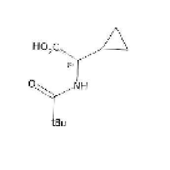 CC(C)(C)C(=O)N[C@H](C(=O)O)C1CC1